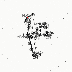 CCCCC[C@@H](NC(=O)CCCCCNC(=O)O[C@H]1CC[C@@]2(C)C(=CC[C@H]3[C@@H]4CC[C@H]([C@H](C)CCCC(C)C)[C@@]4(C)CC[C@@H]32)C1)C(=O)NC(COCCC(=O)NCCCNC(=O)CCCOC1O[C@H](O)[C@H](O)[C@H](O)[C@H]1NC(C)=O)(COCCC(=O)NCCCNC(=O)CCCOC1O[C@H](O)[C@H](O)[C@H](O)[C@H]1NC(C)=O)COCCC(=O)NCCNC(=O)CCCOC1O[C@H](O)[C@H](O)[C@H](O)[C@H]1NC(C)=O